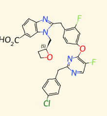 O=C(O)c1ccc2nc(Cc3ccc(Oc4nc(Cc5ccc(Cl)cc5)ncc4F)cc3F)n(C[C@@H]3CCO3)c2c1